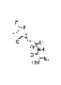 CCCCC(CC)C(=O)NS(=O)(=O)CCOC(=O)C(C)C(F)F